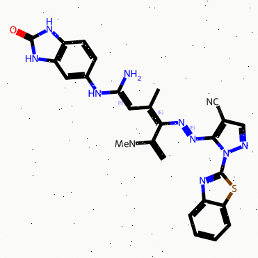 C=C(NC)C(/N=N/c1c(C#N)cnn1-c1nc2ccccc2s1)=C(C)\C=C(/N)Nc1ccc2[nH]c(=O)[nH]c2c1